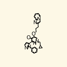 O=c1c(OCCCc2cn3ccccc3n2)cn(CC2CC2)nc1-c1ccnn1-c1ccccc1